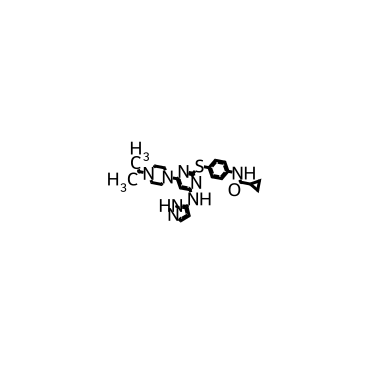 CC(C)N1CCN(c2cc(Nc3ccn[nH]3)nc(Sc3ccc(NC(=O)C4CC4)cc3)n2)CC1